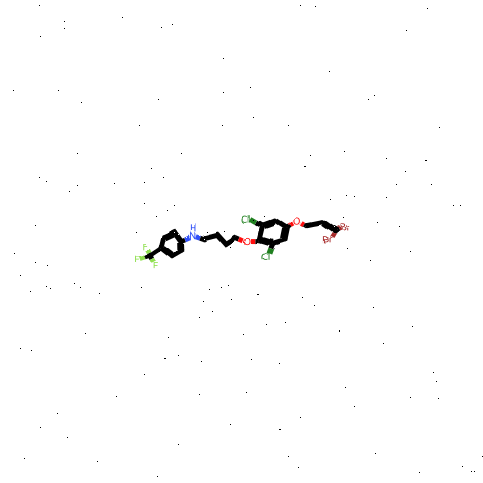 FC(F)(F)c1ccc(NCCCCOc2c(Cl)cc(OCC=C(Br)Br)cc2Cl)cc1